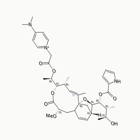 CO[C@H]1CC2C=C[C@@H]3C[C@]2(O[C@H]3[C@H](OC(=O)c2ccc[nH]2)[C@H](C)[C@H](C)O)/C(C)=C/[C@@H](C)[C@@H]([C@@H](C)OC(=O)C[n+]2ccc(N(C)C)cc2)OC1=O